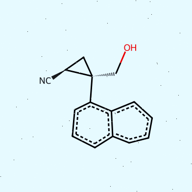 N#C[C@H]1C[C@@]1(CO)c1cccc2ccccc12